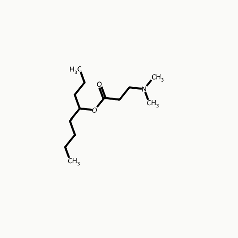 CCCCC(CCC)OC(=O)CCN(C)C